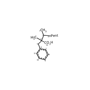 CCCCCC(C)C(C)(Cc1ccccc1)C(=O)O